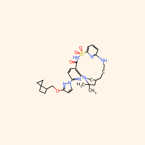 CC1(C)CC2CCCNc3cccc(n3)S(=O)(=O)NC(=O)c3ccc(-n4ccc(OCC5CCC56CC6)n4)nc3N1C2